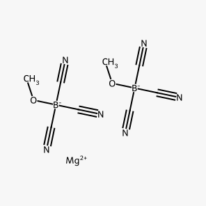 CO[B-](C#N)(C#N)C#N.CO[B-](C#N)(C#N)C#N.[Mg+2]